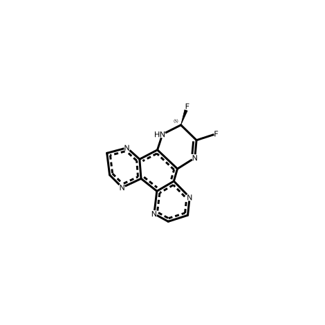 FC1=Nc2c(c3nccnc3c3nccnc23)N[C@H]1F